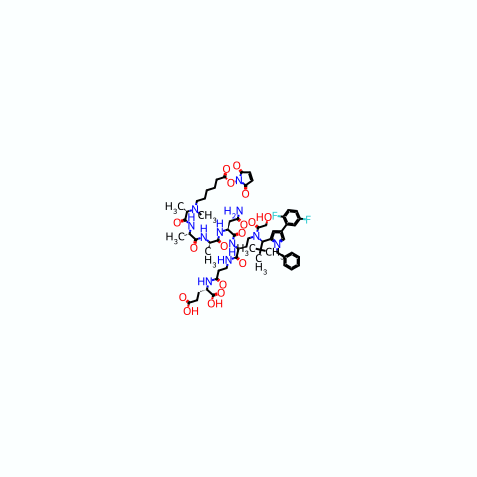 C[C@H](NC(=O)[C@H](C)NC(=O)[C@H](C)N(C)CCCCCC(=O)ON1C(=O)C=CC1=O)C(=O)N[C@@H](CC(N)=O)C(=O)N[C@@H](CCN(C(=O)CO)[C@@H](c1cc(-c2cc(F)ccc2F)cn1Cc1ccccc1)C(C)(C)C)C(=O)NCCC(=O)N[C@@H](CCC(=O)O)C(=O)O